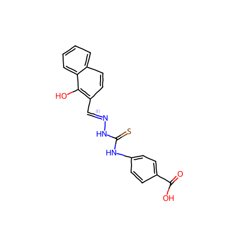 O=C(O)c1ccc(NC(=S)N/N=C/c2ccc3ccccc3c2O)cc1